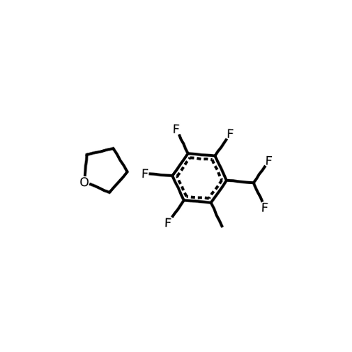 C1CCOC1.Cc1c(F)c(F)c(F)c(F)c1C(F)F